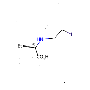 CC[C@@H](NCCI)C(=O)O